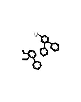 C=Cc1cccc(-c2ccccc2)c1C=C.Nc1ccc(-c2ccccc2)c(-c2ccccc2)c1